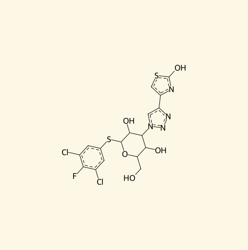 OCC1OC(Sc2cc(Cl)c(F)c(Cl)c2)C(O)C(n2cc(-c3csc(O)n3)nn2)C1O